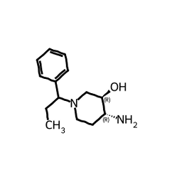 CCC(c1ccccc1)N1CC[C@@H](N)[C@H](O)C1